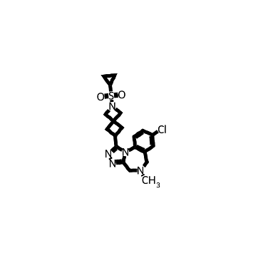 CN1Cc2cc(Cl)ccc2-n2c(nnc2C2CC3(C2)CN(S(=O)(=O)C2CC2)C3)C1